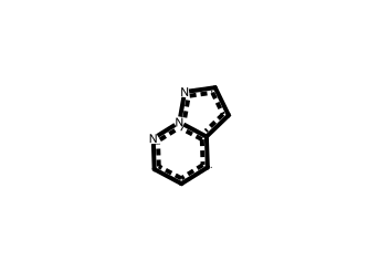 [c]1ccnn2nccc12